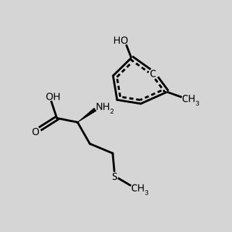 CSCC[C@H](N)C(=O)O.Cc1cccc(O)c1